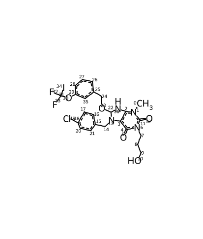 Cn1c2c(c(=O)n(CCCO)c1=O)N(Cc1ccc(Cl)cc1)C(OCc1cccc(OC(F)(F)I)c1)N2